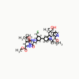 CCn1c(-c2cccnc2[C@H](C)OC)c(CC(C)(C)CO)c2cc(-c3cc(CF)cc(CC(NC(=O)OC(C)(C)C)C(=O)N4CCCC(C(=O)OC)N4)c3)ccc21